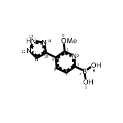 COc1nc(B(O)O)ccc1-c1cn[nH]n1